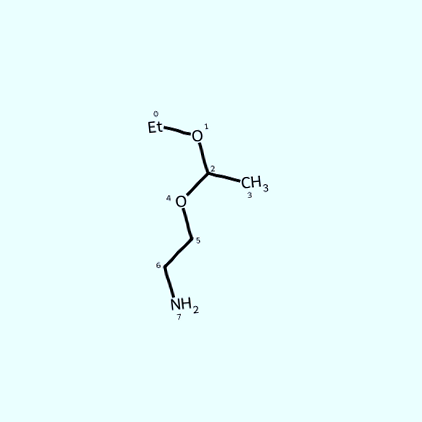 CCOC(C)OCCN